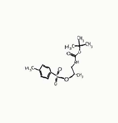 Cc1ccc(S(=O)(=O)O[C@@H](C)CNC(=O)OC(C)(C)C)cc1